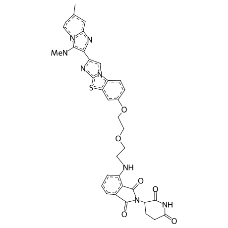 CNc1c(-c2cn3c(n2)sc2cc(OCCOCCNc4cccc5c4C(=O)N(C4CCC(=O)NC4=O)C5=O)ccc23)nc2cc(C)ccn12